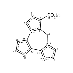 CCOC(=O)c1ncn2c1Cn1ccnc1-c1sccc1-2